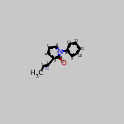 C/C=C/c1cccn(-c2ccccc2)c1=O